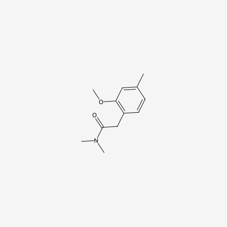 COc1cc(C)ccc1CC(=O)N(C)C